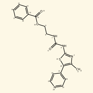 Cc1nc(NC(=O)NCCOC(=O)c2ccccc2)sc1-c1ccncc1